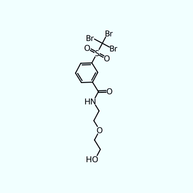 O=C(NCCOCCO)c1cccc(S(=O)(=O)C(Br)(Br)Br)c1